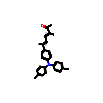 CC(=O)/C(C)=C/C=C(\C)c1ccc(N(c2ccc(C)cc2)c2ccc(C)cc2)cc1